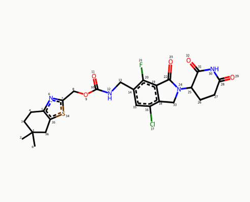 CC1(C)CCc2nc(COC(=O)NCc3cc(Cl)c4c(c3F)C(=O)N(C3CCC(=O)NC3=O)C4)sc2C1